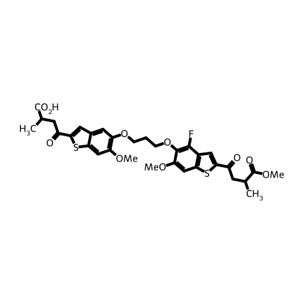 COC(=O)C(C)CC(=O)c1cc2c(F)c(OCCCOc3cc4cc(C(=O)CC(C)C(=O)O)sc4cc3OC)c(OC)cc2s1